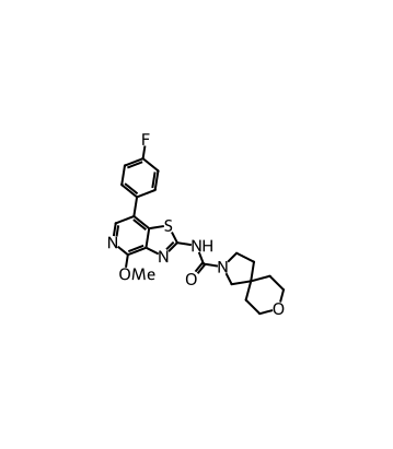 COc1ncc(-c2ccc(F)cc2)c2sc(NC(=O)N3CCC4(CCOCC4)C3)nc12